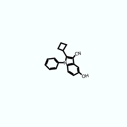 N#Cc1c(C2CCC2)n(-c2ccccc2)c2ccc(O)cc12